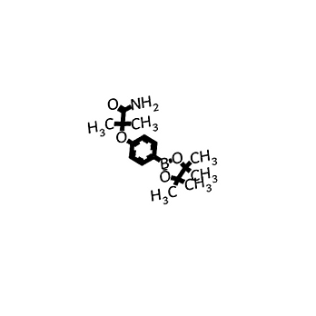 CC(C)(Oc1ccc(B2OC(C)(C)C(C)(C)O2)cc1)C(N)=O